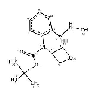 CC(C)(C)OC(=O)N(c1ccccc1C(=N)NO)C1COC1